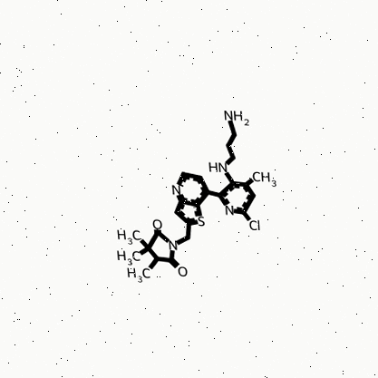 Cc1cc(Cl)nc(-c2ccnc3cc(CN4C(=O)C(C)C(C)(C)C4=O)sc23)c1NCCCN